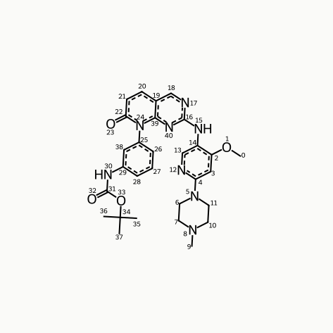 COc1cc(N2CCN(C)CC2)ncc1Nc1ncc2ccc(=O)n(-c3cccc(NC(=O)OC(C)(C)C)c3)c2n1